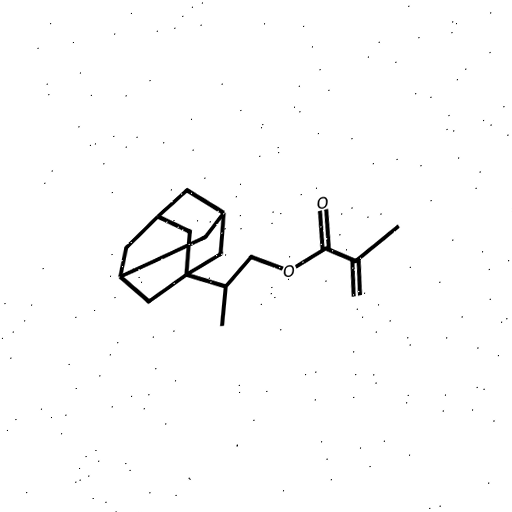 C=C(C)C(=O)OCC(C)C12CC3CC(CC(C3)C1)C2